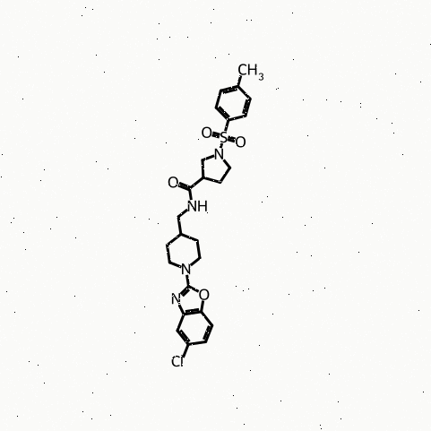 Cc1ccc(S(=O)(=O)N2CCC(C(=O)NCC3CCN(c4nc5cc(Cl)ccc5o4)CC3)C2)cc1